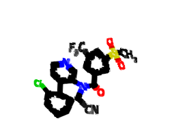 CS(=O)(=O)c1cc(C(=O)N(CC#N)c2cnccc2-c2ccccc2Cl)cc(C(F)(F)F)c1